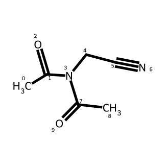 CC(=O)N(CC#N)C(C)=O